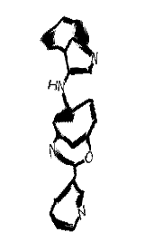 C1=CC2=NC=C(Nc3ccc4oc(-c5cccnc5)nc4c3)C2C=C1